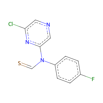 Fc1ccc(N(C=S)c2cncc(Cl)n2)cc1